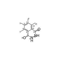 Cc1c(C)c(C)c2c(=O)[nH][nH]c(=O)c2c1C